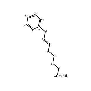 CCCCCCCCCCCC=CCc1[c]cccc1